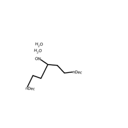 CCCCCCCCCCCCC(CCCCCCCCCCCC)N=O.O.O